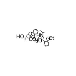 CCOc1ccccc1C(O)CNC(C)Cc1ccc2c(c1)OC(C(=O)O)(C(=O)O)O2